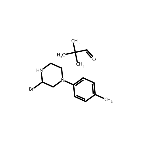 CC(C)(C)C=O.Cc1ccc(N2CCNC(Br)C2)cc1